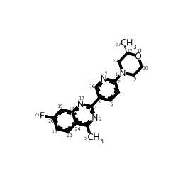 Cc1nc(-c2ccc(N3CCO[C@@H](C)C3)nc2)nc2cc(F)ccc12